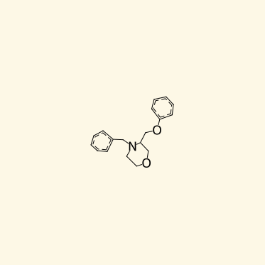 c1ccc(CN2CCOCC2COc2ccccc2)cc1